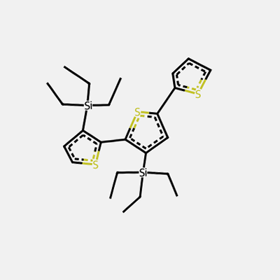 CC[Si](CC)(CC)c1ccsc1-c1sc(-c2cccs2)cc1[Si](CC)(CC)CC